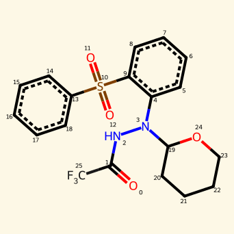 O=C(NN(c1ccccc1S(=O)(=O)c1ccccc1)C1CCCCO1)C(F)(F)F